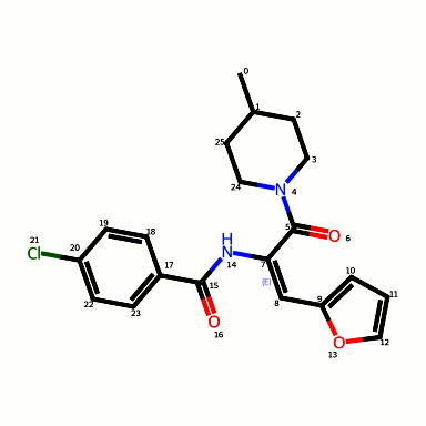 CC1CCN(C(=O)/C(=C\c2ccco2)NC(=O)c2ccc(Cl)cc2)CC1